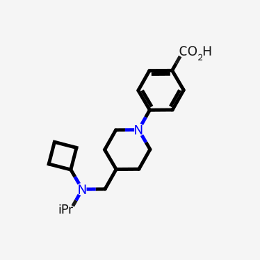 CC(C)N(CC1CCN(c2ccc(C(=O)O)cc2)CC1)C1CCC1